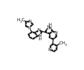 Cc1cn(-c2cccc3[nH]c(-c4n[nH]c5ncc(-c6cnccc6C)cc45)nc23)cn1